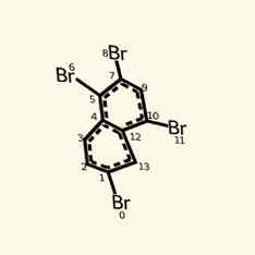 Brc1ccc2c(Br)c(Br)cc(Br)c2c1